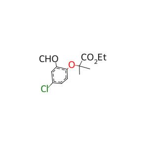 CCOC(=O)C(C)(C)Oc1ccc(Cl)cc1C=O